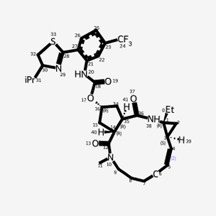 CC[C@@]12C[C@H]1/C=C\CCCCN(C)C(=O)[C@@H]1C[C@H](OC(=O)Nc3cc(C(F)(F)F)ccc3C3=NC(C(C)C)CS3)C[C@H]1C(=O)N2